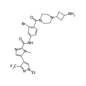 CCn1cc(-c2cnc(C(=O)Nc3ccc(C(=O)N4CCN(C5CC(N)C5)CC4)c(Br)c3)n2C)c(C(F)(F)F)n1